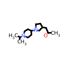 CC(=O)CC1CCN(C2CCN(C(C)C)CC2)C1